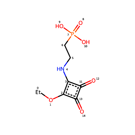 CCOc1c(NCCP(=O)(O)O)c(=O)c1=O